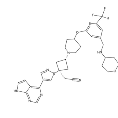 N#CC[C@]1(n2cc(-c3ncnc4[nH]ccc34)cn2)C[C@H](N2CCC(Oc3cc(CNC4CCOCC4)cc(C(F)(F)F)n3)CC2)C1